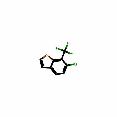 FC(F)(F)c1c(Cl)ccc2ccsc12